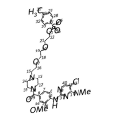 CNc1nc(Nc2ccc(C(=O)N3CCN(CCOCCOCCOS(=O)(=O)c4ccc(C)cc4)CC3)cc2OC)ncc1Cl